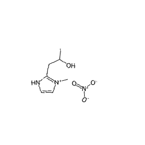 CC(O)Cc1[nH]cc[n+]1C.O=[N+]([O-])[O-]